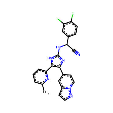 Cc1cccc(-c2[nH]c(NC(C#N)c3ccc(Cl)c(Cl)c3)nc2-c2ccn3nccc3c2)n1